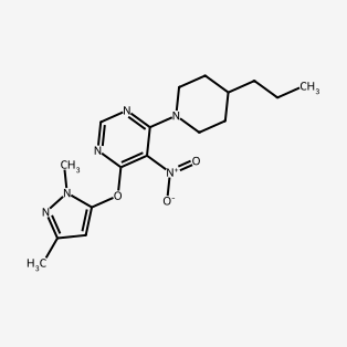 CCCC1CCN(c2ncnc(Oc3cc(C)nn3C)c2[N+](=O)[O-])CC1